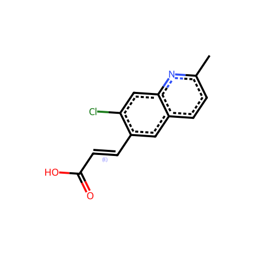 Cc1ccc2cc(/C=C/C(=O)O)c(Cl)cc2n1